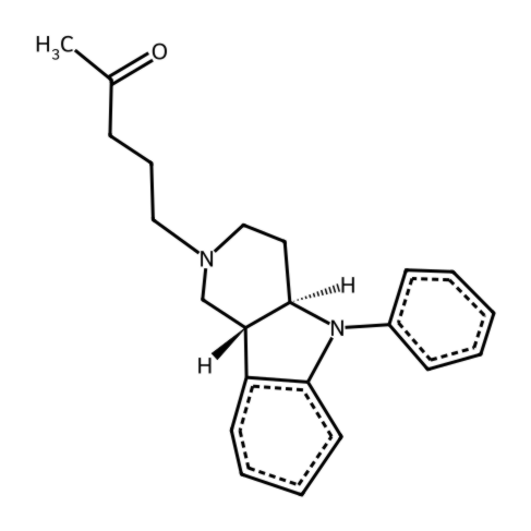 CC(=O)CCCN1CC[C@@H]2[C@@H](C1)c1ccccc1N2c1ccccc1